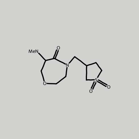 CNC1COCCN(CC2CCS(=O)(=O)C2)C1=O